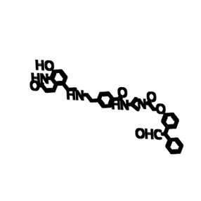 O=CC(c1ccccc1)c1cccc(OCC(=O)N2CC(NC(=O)c3ccc(CCNCCc4ccc(O)c5[nH]c(=O)ccc45)cc3)C2)c1